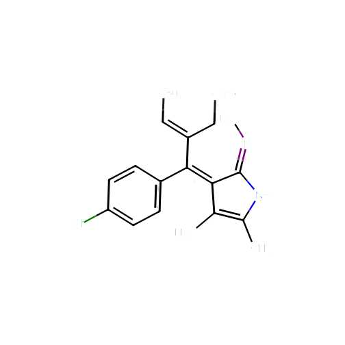 CCC(C)C=C(CC=O)/C(=C1/C(C)=C(C)N/C1=P/C)c1ccc(Cl)cc1